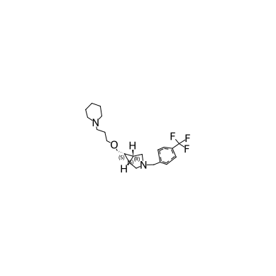 FC(F)(F)c1ccc(CN2C[C@@H]3[C@H](COCCCN4CCCCC4)[C@@H]3C2)cc1